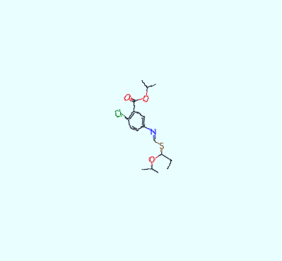 CCC(OC(C)C)SC=Nc1ccc(Cl)c(C(=O)OC(C)C)c1